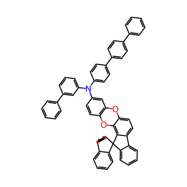 c1ccc(-c2ccc(-c3ccc(N(c4cccc(-c5ccccc5)c4)c4ccc5c(c4)Oc4ccc6c(c4O5)C4(c5ccccc5-c5ccccc54)c4ccccc4-6)cc3)cc2)cc1